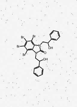 O=c1n(CC(O)c2ccccc2)c2c(Br)c(Br)c(Br)c(Br)c2n1CC(O)c1ccccc1